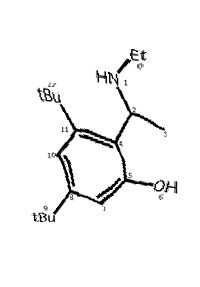 CCNC(C)c1c(O)cc(C(C)(C)C)cc1C(C)(C)C